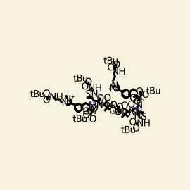 C[n+]1cc(-c2ccc3c(c2)CC[C@H]([C@](C)(O/N=C(\C(=O)N[C@@H]2C(=O)N(OS(=O)(=O)ON4C(=O)[C@@H](NC(=O)/C(=N\O[C@](C)(C(=O)OC(C)(C)C)[C@H]5CCc6cc(-c7cn(CCCNC(=O)OC(C)(C)C)[n+](C)c7)ccc6O5)c5csc(NC(=O)OC(C)(C)C)n5)C4(C)C)C2(C)C)c2csc(NC(=O)OC(C)(C)C)n2)C(=O)OC(C)(C)C)O3)cn1CCCNC(=O)OC(C)(C)C